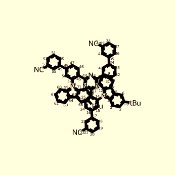 CC(C)(C)c1ccc2c(c1)c1ccccc1n2-c1cc(-c2cccc(C#N)c2)ccc1-c1nc(-c2cccc(-c3cccc(C#N)c3)c2)nc(-c2ccc(-c3cccc(C#N)c3)cc2-n2c3ccccc3c3cc(C(C)(C)C)ccc32)n1